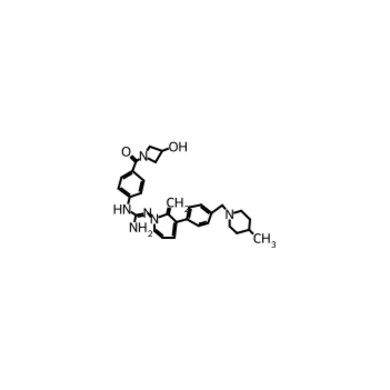 C=C1C(c2ccc(CN3CCC(C)CC3)cc2)=CC=CN1/N=C(\N)Nc1ccc(C(=O)N2CC(O)C2)cc1